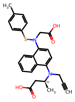 C#CCN(c1ccc(N(CC(=O)O)Sc2ccc(C)cc2)c2ccccc12)[C@@H](C)CC(=O)O